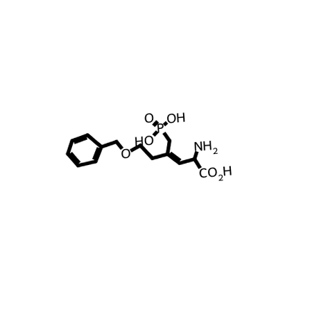 NC(C=C(CCOCc1ccccc1)CP(=O)(O)O)C(=O)O